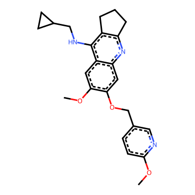 COc1ccc(COc2cc3nc4c(c(NCC5CC5)c3cc2OC)CCC4)cn1